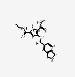 CCNC(=O)c1cc(O[C@H](C)c2ccc3c(c2)COC3)c(C(=O)NC)[nH]1